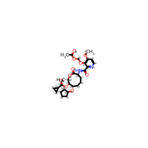 COc1ccnc(C(=O)N[C@H]2CCC[C@H](OC3CCCC3)[C@@H](OC(=O)C3CC3)[C@H](C)OC2=O)c1OCOC(C)=O